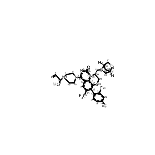 C=CC(O)N1CCN(c2nc(=O)n3c4c(c(-c5ccc(F)cc5F)c(C(F)(F)F)cc24)SC[C@@H]3CN2C[C@@H]3C[C@H]2CO3)CC1